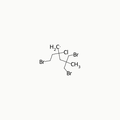 [CH2]C(Cl)(CCBr)CC(C)(CBr)CBr